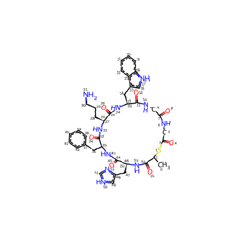 CC1SC(=O)CNC(=O)CNC(=O)[C@H](Cc2c[nH]c3ccccc23)NC(=O)[C@H](CCCN)NC(=O)C(Cc2ccccc2)NC(=O)[C@H](Cc2c[nH]cn2)NC1=O